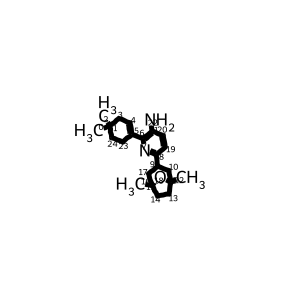 CC1(C)CC=C(c2nc(C3CC4(C)CCC(C)(C3)O4)ccc2N)CC1